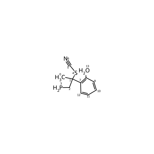 CC(CP)(SC#N)c1ccccc1.O